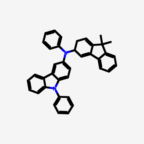 CC1(C)C2=CCC(N(c3ccccc3)c3ccc4c(c3)c3ccccc3n4-c3ccccc3)C=C2c2ccccc21